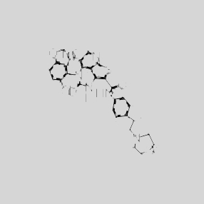 N#Cc1cnc2sc(C(=O)Nc3ccc(CCN4CCOCC4)cc3)c3c2c1N(c1c(Cl)ccc2c1OCO2)C(=O)N3